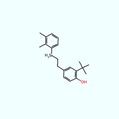 Cc1cccc([SiH2]CCc2ccc(O)c(C(C)(C)C)c2)c1C